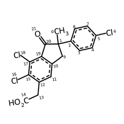 CC1(c2ccc(Cl)cc2)Cc2cc(CC(=O)O)c(Cl)c(Cl)c2C1=O